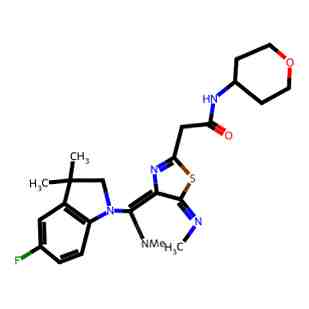 C/N=C1/SC(CC(=O)NC2CCOCC2)=N/C1=C(/NC)N1CC(C)(C)c2cc(F)ccc21